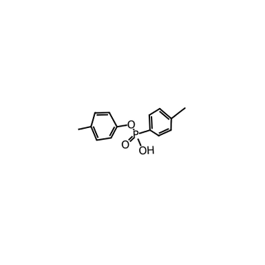 Cc1ccc(OP(=O)(O)c2ccc(C)cc2)cc1